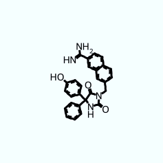 N=C(N)c1ccc2ccc(CN3C(=O)NC(c4ccccc4)(c4ccc(O)cc4)C3=O)cc2c1